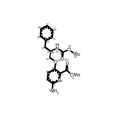 COC(=O)c1nc(N)ccc1OC[C@@H](Cc1ccccc1)NC(=O)OC(C)(C)C